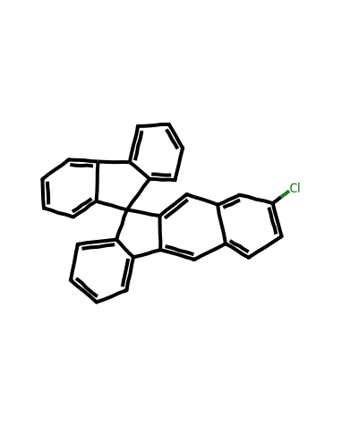 Clc1ccc2cc3c(cc2c1)C1(c2ccccc2-c2ccccc21)c1ccccc1-3